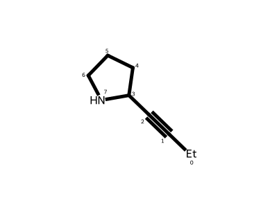 CCC#CC1CCCN1